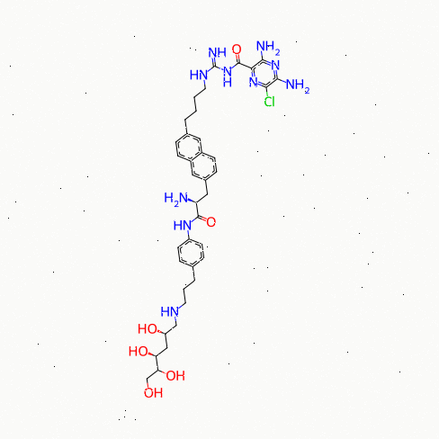 N=C(NCCCCc1ccc2cc(C[C@H](N)C(=O)Nc3ccc(CCCNC[C@H](O)C[C@H](O)C(O)CO)cc3)ccc2c1)NC(=O)c1nc(Cl)c(N)nc1N